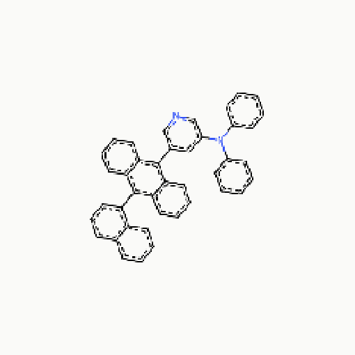 c1ccc(N(c2ccccc2)c2cncc(-c3c4ccccc4c(-c4cccc5ccccc45)c4ccccc34)c2)cc1